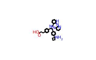 NC1(c2ccc(-c3c(-c4ccc(CCC(=O)O)cc4)nc4n3-c3cccnc3Nc3ccccc3-4)cc2)CCC1